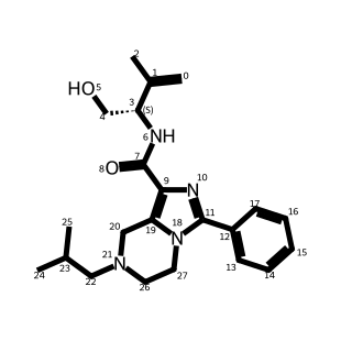 C=C(C)[C@@H](CO)NC(=O)c1nc(-c2ccccc2)n2c1CN(CC(C)C)CC2